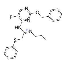 CCC/N=C(\CSc1ccccc1)Nc1nc(OCc2ccccc2)ncc1F